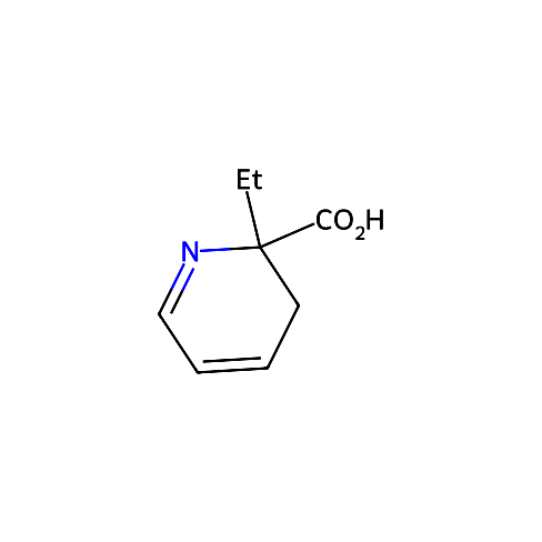 CCC1(C(=O)O)CC=CC=N1